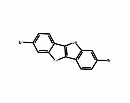 Brc1ccc2c(c1)[se]c1c3ccc(Br)cc3[se]c21